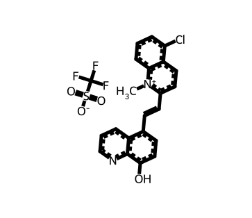 C[n+]1c(C=Cc2ccc(O)c3ncccc23)ccc2c(Cl)cccc21.O=S(=O)([O-])C(F)(F)F